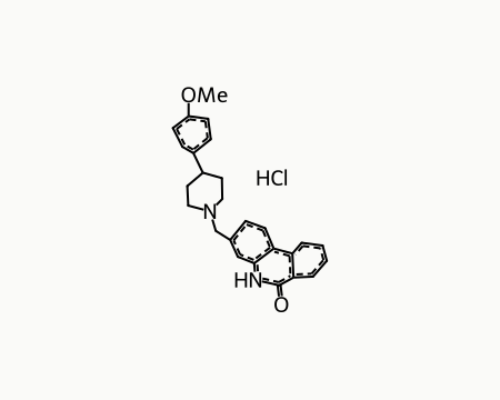 COc1ccc(C2CCN(Cc3ccc4c(c3)[nH]c(=O)c3ccccc34)CC2)cc1.Cl